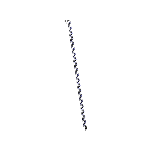 P#P=P\P=P/P=P\P=P/P=P\P=P/P=P\P=P/P=P\P=P/P=P\P=P/P=P\P=P/P=P\P=P/P=P\P=P/P=P\P=P/P=P\P=P/P=P\P=P/P=P\P=P/P=P\P=P/P=P\P=P/P=P\P=P/P=P\P=P/P=P\P=P/P=P\P=P/P=P\P=P/P=P\P